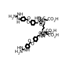 Cl.N=C(N)Nc1ccc(C(=O)Oc2ccc(CNS(=O)(=O)N(CCCCN([C@@H](CC(=O)O)C(=O)O)S(=O)(=O)NCc3ccc(OC(=O)c4ccc(NC(=N)N)cc4)cc3)[C@@H](CC(=O)O)C(=O)O)cc2)cc1